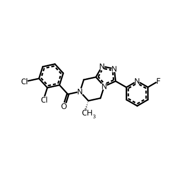 C[C@H]1Cn2c(nnc2-c2cccc(F)n2)CN1C(=O)c1cccc(Cl)c1Cl